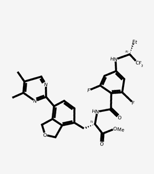 CC[C@@H](Nc1cc(F)c(C(=O)N[C@@H](Cc2ccc(-c3ncc(C)c(C)n3)c3c2COC3)C(=O)OC)c(F)c1)C(F)(F)F